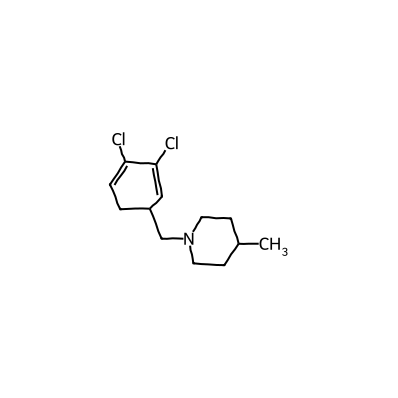 CC1CCN(CC2C=C(Cl)C(Cl)=CC2)CC1